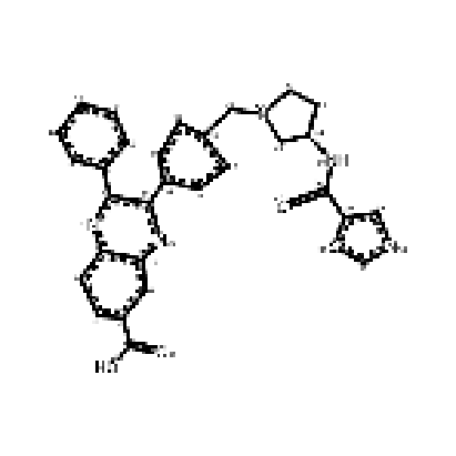 O=C(O)c1ccc2nc(-c3ccccc3)c(-c3ccc(CN4CC[C@@H](NC(=O)c5cncs5)C4)cc3)nc2c1